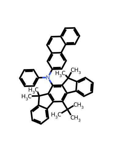 CC(C)(C)c1c2c(c(N(c3ccccc3)c3ccc4c(ccc5ccccc54)c3)c3c1-c1ccccc1C3(C)C)C(C)(C)c1ccccc1-2